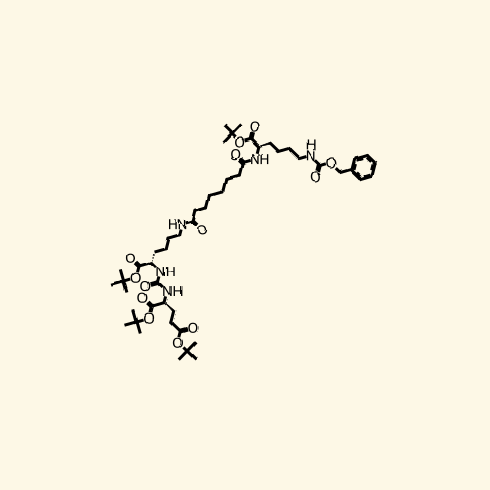 CC(C)(C)OC(=O)CC[C@H](NC(=O)N[C@@H](CCCCNC(=O)CCCCCCC(=O)N[C@H](CCCCNC(=O)OCc1ccccc1)C(=O)OC(C)(C)C)C(=O)OC(C)(C)C)C(=O)OC(C)(C)C